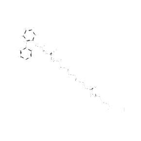 O=C(O)CCCNC(=O)CCOCCOCCNC(=O)OCC1c2ccccc2-c2ccccc21